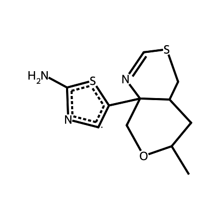 CC1CC2CSC=NC2(c2[c]nc(N)s2)CO1